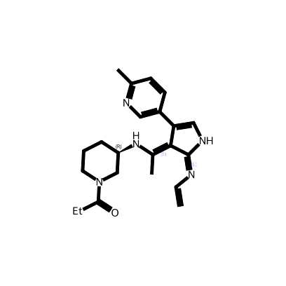 C=C/N=C1/NC=C(c2ccc(C)nc2)/C1=C(/C)N[C@@H]1CCCN(C(=O)CC)C1